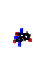 O=C1C=CC2=C(C1)C1(CNC(=O)N1)C(=O)N2